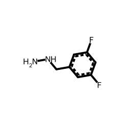 NNCc1cc(F)cc(F)c1